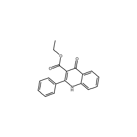 CCOC(=O)c1c(-c2ccccc2)[nH]c2ccccc2c1=O